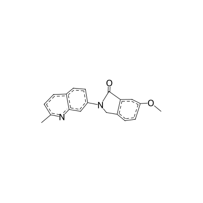 COc1ccc2c(c1)C(=O)N(c1ccc3ccc(C)nc3c1)C2